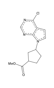 COC(=O)C1CCC(n2ccc3c(Cl)ncnc32)C1